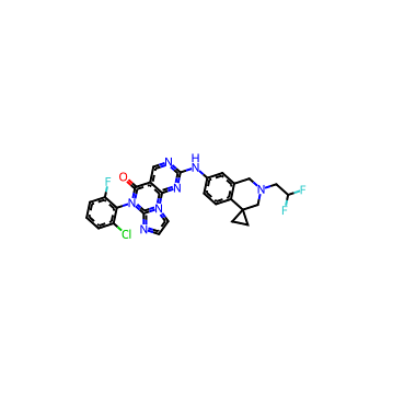 O=c1c2cnc(Nc3ccc4c(c3)CN(CC(F)F)CC43CC3)nc2n2ccnc2n1-c1c(F)cccc1Cl